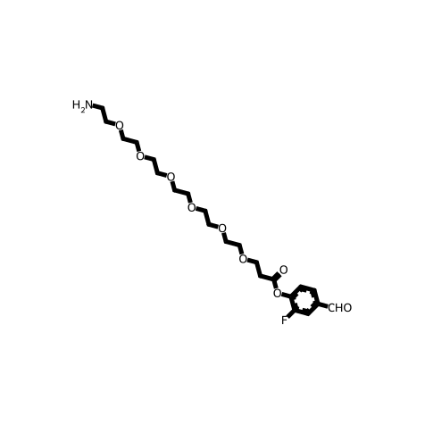 NCCOCCOCCOCCOCCOCCOCCC(=O)Oc1ccc(C=O)cc1F